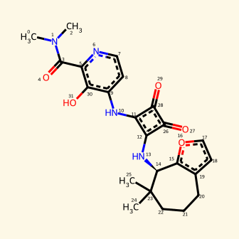 CN(C)C(=O)c1nccc(Nc2c(N[C@H]3c4occc4CCCC3(C)C)c(=O)c2=O)c1O